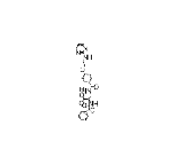 O=C(NCC(NS(=O)(=O)c1ccccc1)C(=O)O)c1ccc(OCCNc2ncccn2)cc1